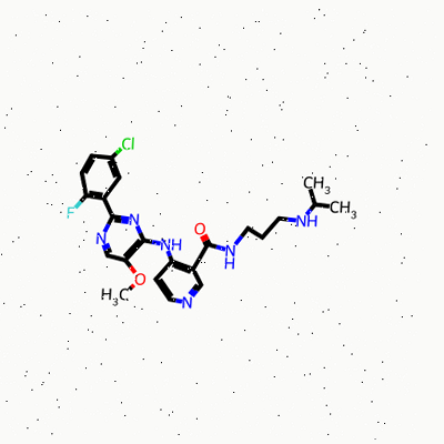 COc1cnc(-c2cc(Cl)ccc2F)nc1Nc1ccncc1C(=O)NCCCNC(C)C